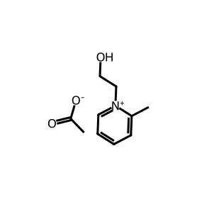 CC(=O)[O-].Cc1cccc[n+]1CCO